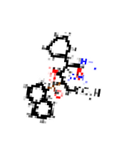 NC(=O)C(C(=O)[C@@](N)(CC(=O)O)S(=O)(=O)c1cccc2ccccc12)C1CCCCC1